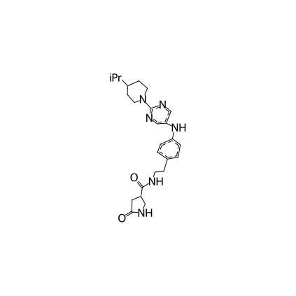 CC(C)C1CCN(c2ncc(Nc3ccc(CCNC(=O)C4CNC(=O)C4)cc3)cn2)CC1